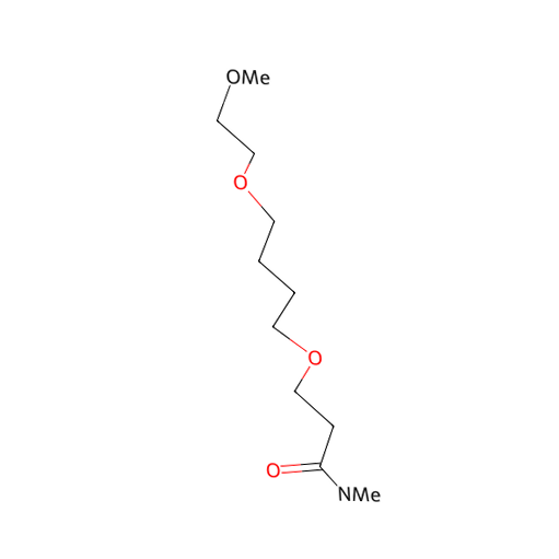 CNC(=O)CCOCCCCOCCOC